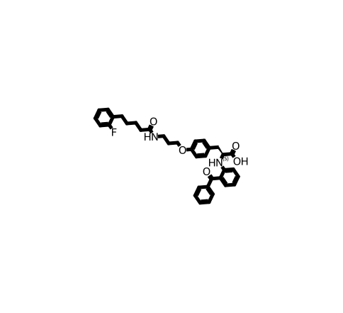 O=C(CCCCc1ccccc1F)NCCCOc1ccc(C[C@H](Nc2ccccc2C(=O)c2ccccc2)C(=O)O)cc1